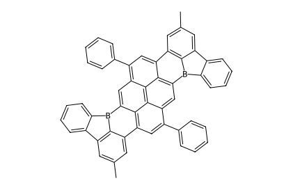 Cc1cc2c3c(c1)-c1cc(-c4ccccc4)c4cc5c6c(cc(-c7ccccc7)c7cc(c1c4c76)B3c1ccccc1-2)-c1cc(C)cc2c1B5c1ccccc1-2